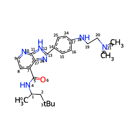 CC(CC(C)(C)C)NC(=O)c1ccnc2[nH]c(-c3ccc(NCCN(C)C)cc3)nc12